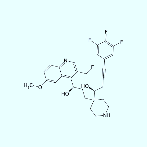 COc1ccc2ncc(CF)c([C@H](O)CCC3([C@@H](O)CC#Cc4cc(F)c(F)c(F)c4)CCNCC3)c2c1